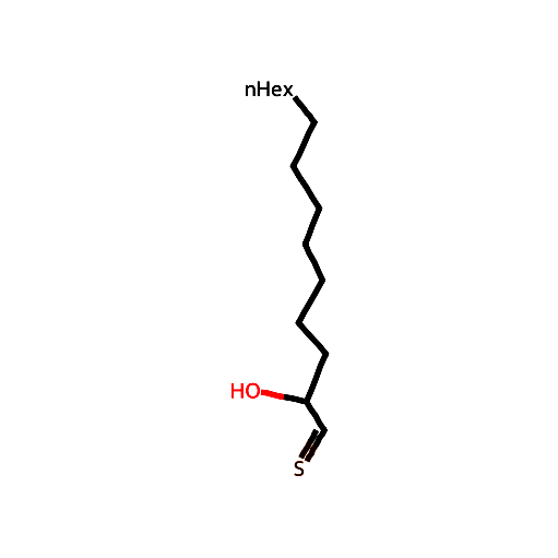 CCCCCCCCCCCCCC(O)C=S